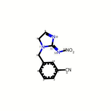 N#Cc1cccc(CN2CC=NC2=N[N+](=O)[O-])c1